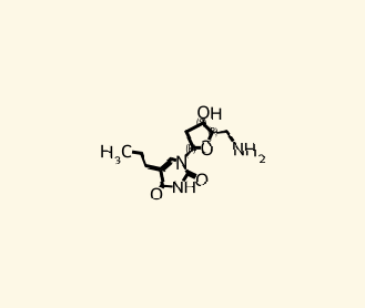 CCCc1cn([C@H]2C[C@H](O)[C@@H](CN)O2)c(=O)[nH]c1=O